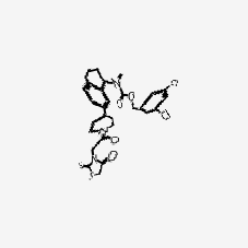 CN(C(=O)OCc1cc(Cl)cc(Cl)c1)C1CCc2ccc(C3=CCN(C(=O)CN4C(=O)CSC4=S)CC3)cc21